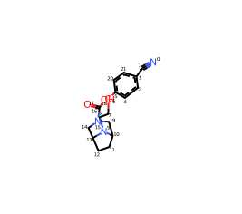 N#Cc1ccc(OCCN2C3CCC2CN(C(=O)O)C3)cc1